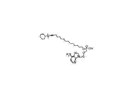 C[C@H](Cn1cnc2c(N)ncnc21)OCP(=O)(O)OCCCCCCCCCCCCCC#C[Si](C)(C)C1CCCCC1